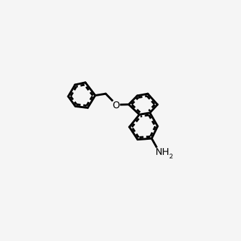 Nc1ccc2c(OCc3ccccc3)cccc2c1